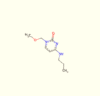 CCCNc1ccn(COC)c(=O)n1